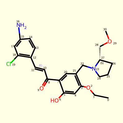 CCOc1cc(O)c(C(=O)/C=C/c2ccc(N)cc2Cl)cc1CN1CCC[C@H]1COC